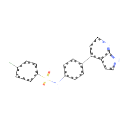 O=S(=O)(Nc1ccc(-c2ccnc3[nH]ccc23)cc1)c1ccc(Cl)cc1